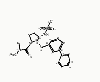 CCS(=O)(=O)N[C@H]1CCN(C(=O)N(C)OC)[C@H]1Cc1cccc(-c2ccccc2)c1